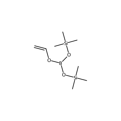 C=COB(O[Si](C)(C)C)O[Si](C)(C)C